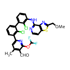 COCc1nc2c(Nc3cccc(-c4cccc(-c5cc(C)c(C=O)c(OC(F)F)n5)c4Cl)c3Cl)nccc2s1